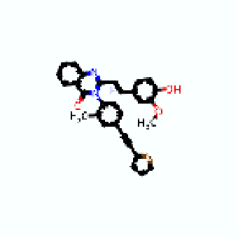 COc1cc(/C=C/c2nc3ccccc3c(=O)n2-c2ccc(C#Cc3cccs3)cc2C)ccc1O